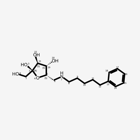 OC[C@@]1(O)O[C@@H](CNCCCCCc2ccccc2)[C@@H](O)[C@@H]1O